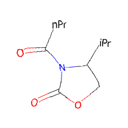 CCCC(=O)N1C(=O)OCC1C(C)C